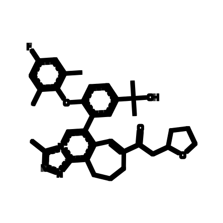 Cc1cc(F)cc(C)c1Oc1ccc(C(C)(C)O)cc1-c1cn2c(C)nnc2c2c1C=C(C(=O)CC1CCCO1)CCC2